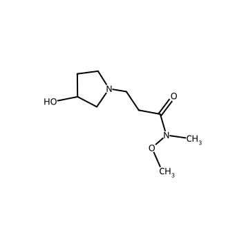 CON(C)C(=O)CCN1CCC(O)C1